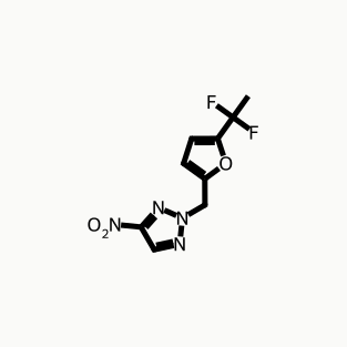 CC(F)(F)c1ccc(Cn2ncc([N+](=O)[O-])n2)o1